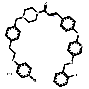 CC(C)c1ccc(OCCc2ccc(CN3CCN(C(=O)/C=C/c4ccc(Oc5ccc(OCc6ccccc6Cl)cn5)cc4)CC3)cc2)cc1.Cl